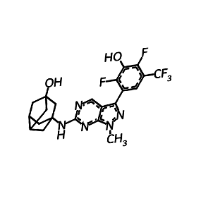 Cn1nc(-c2cc(C(F)(F)F)c(F)c(O)c2F)c2cnc(NC34CC5CC(O)(CC5C3)C4)nc21